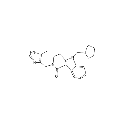 Cc1[nH]cnc1CN1CCc2c(c3ccccc3n2CC2CCCC2)C1=O